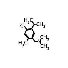 Cc1cc(Cl)c(C(C)C)cc1CN(C)C